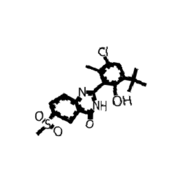 Cc1c(Cl)cc(C(C)(C)C)c(O)c1-c1nc2ccc(S(C)(=O)=O)cc2c(=O)[nH]1